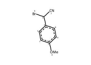 COc1ccc(C(Br)C#N)cc1